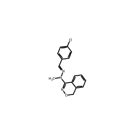 CN(N=Cc1ccc(Cl)cc1)C1=NOCc2ccccc21